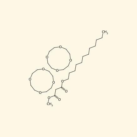 C1COCCOCCOCCO1.C1COCCOCCOCCO1.CCCCCCCCCCCCOC(=O)CC(=O)OC